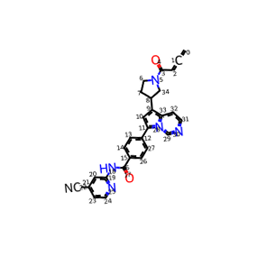 C=C=CC(=O)N1CCC(c2cc(-c3ccc(C(=O)Nc4cc(C#N)ccn4)cc3)n3cnccc23)C1